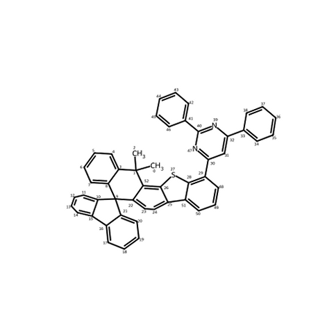 CC1(C)c2ccccc2C2(c3ccccc3-c3ccccc32)c2ccc3c(sc4c(-c5cc(-c6ccccc6)nc(-c6ccccc6)n5)cccc43)c21